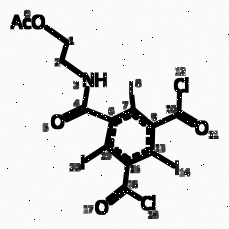 CC(=O)OCCNC(=O)c1c(I)c(C(=O)Cl)c(I)c(C(=O)Cl)c1I